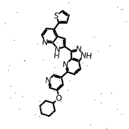 c1csc(-c2ccnc3[nH]c(-c4n[nH]c5ccc(-c6cncc(OC7CCCCC7)c6)nc45)cc23)c1